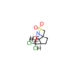 CC1(C)[C@H]2CC[C@@]13CS(=O)(=O)N3OC2(Cl)Cl